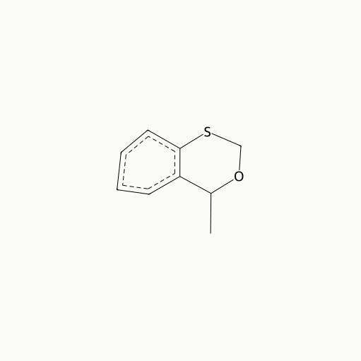 CC1OCSc2ccccc21